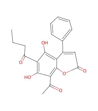 CCCC(=O)c1c(O)c(C(C)=O)c2oc(=O)cc(-c3ccccc3)c2c1O